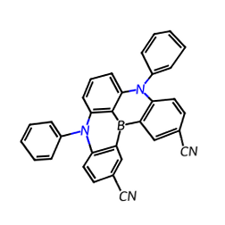 N#Cc1ccc2c(c1)B1c3cc(C#N)ccc3N(c3ccccc3)c3cccc(c31)N2c1ccccc1